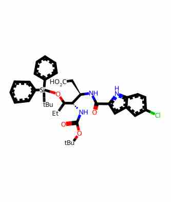 CCC(O[Si](c1ccccc1)(c1ccccc1)C(C)(C)C)[C@@H](NC(=O)OC(C)(C)C)[C@@H](CC(=O)O)NC(=O)c1cc2cc(Cl)ccc2[nH]1